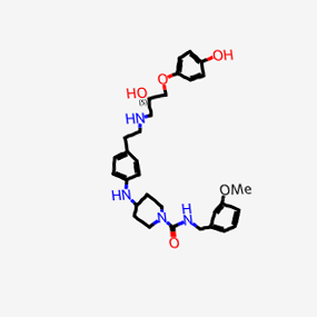 COc1cccc(CNC(=O)N2CCC(Nc3ccc(CCNC[C@H](O)COc4ccc(O)cc4)cc3)CC2)c1